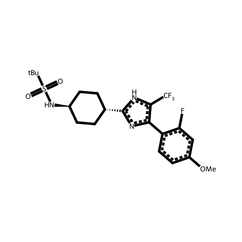 COc1ccc(-c2nc([C@H]3CC[C@H](NS(=O)(=O)C(C)(C)C)CC3)[nH]c2C(F)(F)F)c(F)c1